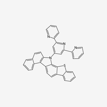 c1ccc(-c2cc(-n3c4ccc5ccccc5c4c4ccc5c6ccccc6sc5c43)cc(-c3ccccn3)n2)nc1